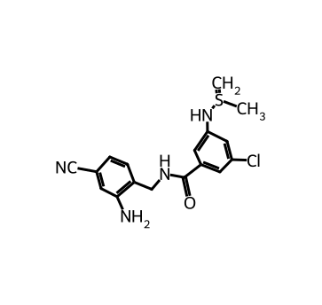 C=S(C)Nc1cc(Cl)cc(C(=O)NCc2ccc(C#N)cc2N)c1